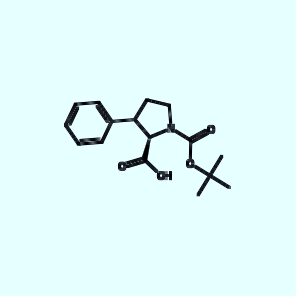 CC(C)(C)OC(=O)N1CCC(c2ccccc2)[C@@H]1C(=O)O